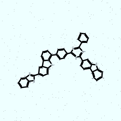 c1ccc(-c2nc(-c3ccc(-c4cccc5c4sc4ccc(-c6nc7ccccc7s6)cc45)cc3)nc(-c3ccc4c(c3)oc3ccccc34)n2)cc1